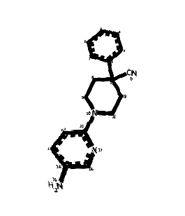 N#CC1(c2ccccc2)CCN(c2ccc(N)cn2)CC1